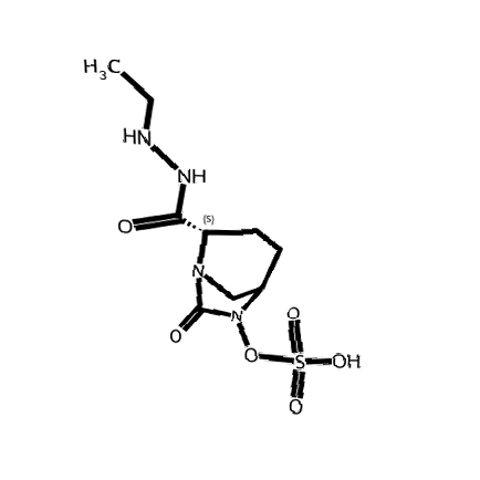 CCNNC(=O)[C@@H]1CCC2CN1C(=O)N2OS(=O)(=O)O